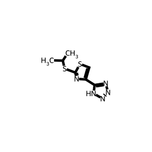 CC(C)Sc1nc(-c2nnn[nH]2)cs1